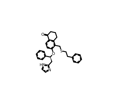 O=C1CCCc2c1ccc(O[C@@H](Cc1ncc[nH]1)c1ccccc1)c2CSCCc1ccccc1